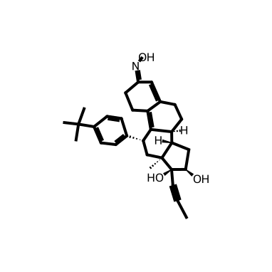 CC#C[C@@]1(O)[C@H](O)C[C@H]2[C@@H]3CCC4=C/C(=N\O)CCC4=C3[C@@H](c3ccc(C(C)(C)C)cc3)C[C@@]21C